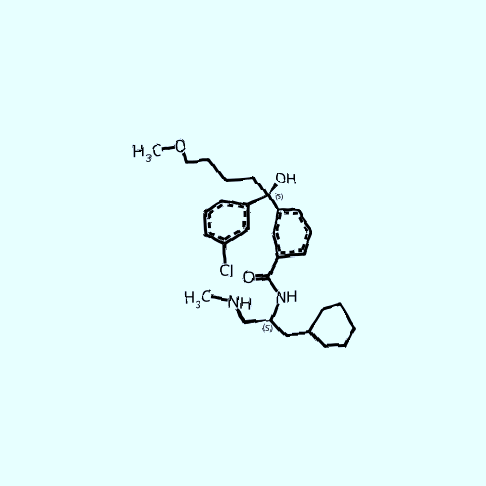 CNC[C@H](CC1CCCCC1)NC(=O)c1cccc([C@@](O)(CCCCOC)c2cccc(Cl)c2)c1